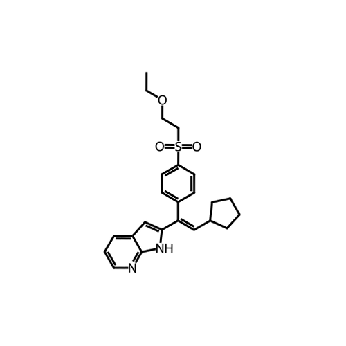 CCOCCS(=O)(=O)c1ccc(C(=CC2CCCC2)c2cc3cccnc3[nH]2)cc1